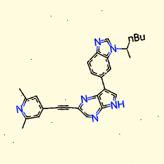 CCCCC(C)n1cnc2ccc(-c3c[nH]c4ncc(C#Cc5cc(C)nc(C)c5)nc34)cc21